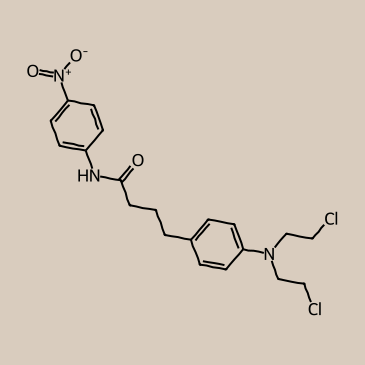 O=C(CCCc1ccc(N(CCCl)CCCl)cc1)Nc1ccc([N+](=O)[O-])cc1